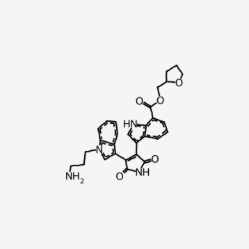 NCCCn1cc(C2=C(c3c[nH]c4c(C(=O)OCC5CCCO5)cccc34)C(=O)NC2=O)c2ccccc21